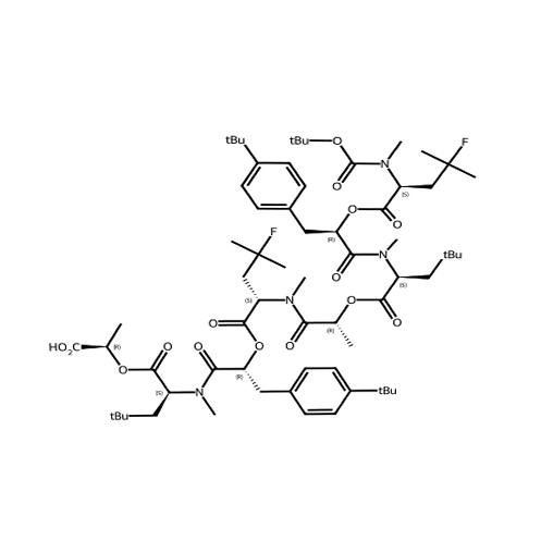 C[C@@H](OC(=O)[C@H](CC(C)(C)C)N(C)C(=O)[C@@H](Cc1ccc(C(C)(C)C)cc1)OC(=O)[C@H](CC(C)(C)F)N(C)C(=O)[C@@H](C)OC(=O)[C@H](CC(C)(C)C)N(C)C(=O)[C@@H](Cc1ccc(C(C)(C)C)cc1)OC(=O)[C@H](CC(C)(C)F)N(C)C(=O)OC(C)(C)C)C(=O)O